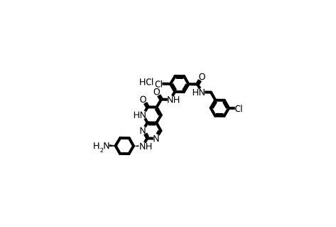 Cl.N[C@H]1CC[C@H](Nc2ncc3cc(C(=O)Nc4cc(C(=O)NCc5cccc(Cl)c5)ccc4Cl)c(=O)[nH]c3n2)CC1